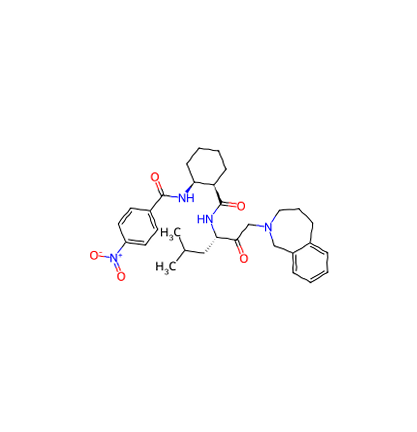 CC(C)C[C@H](NC(=O)[C@@H]1CCCC[C@@H]1NC(=O)c1ccc([N+](=O)[O-])cc1)C(=O)CN1CCCc2ccccc2C1